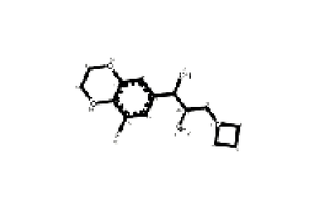 N[C@H](CN1CCC1)C(O)c1cc(F)c2c(c1)OCCO2